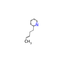 C/C=C/CCc1ccccn1